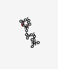 c1ccc(-c2nc(-c3ccc(-c4ccc5c6ccccc6n(-c6ccc7sc8ccc9sc%10c(-c%11nc(-c%12ccccc%12)nc(-c%12ccccc%12)n%11)cccc%10c9c8c7c6)c5c4)cc3)nc(-c3cccc4c3sc3c4ccc4sc5ccc(-n6c7ccccc7c7ccccc76)cc5c43)n2)cc1